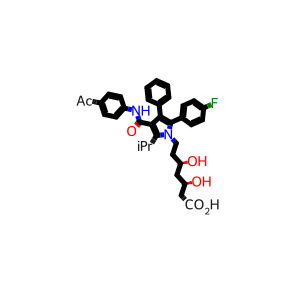 CC(=O)c1ccc(NC(=O)c2c(-c3ccccc3)c(-c3ccc(F)cc3)n(CC[C@@H](O)C[C@@H](O)CC(=O)O)c2C(C)C)cc1